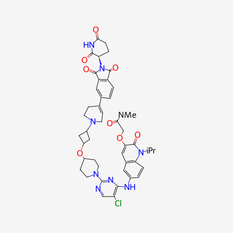 CNC(=O)COc1cc2cc(Nc3nc(N4CCC(OC5CC(N6CC=C(c7ccc8c(c7)C(=O)N([C@@H]7CCC(=O)NC7=O)C8=O)CC6)C5)CC4)ncc3Cl)ccc2n(C(C)C)c1=O